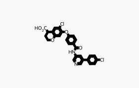 O=C(Nc1cncc(-c2ccc(Cl)cc2)c1)c1ccc(Oc2cc3c(cc2Cl)C(C(=O)O)CCO3)cc1